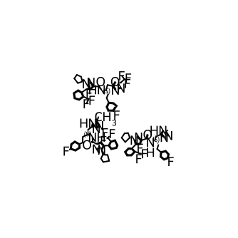 Cc1nnc(C[C@H](CCc2ccc(F)cc2)NC(=O)c2cc(-c3ccccc3C(F)(F)F)n(C3CCCC3)n2)[nH]1.O=C(N[C@@H](CCc1ccc(F)cc1)Cc1nnc(C(F)(F)F)o1)c1cc(-c2ccccc2C(F)(F)F)n(C2CCCC2)n1.O=C(N[C@@H](CCc1ccc(F)cc1)Cc1nnc[nH]1)c1cc(-c2ccccc2C(F)(F)F)n(C2CCCC2)n1